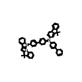 CC1(C)C2=CC=CCC2n2c1cc1c3ccccc3n(-c3ccc(-c4ccc(N(c5ccc(-c6ccccc6)cc5)c5ccc6c(c5)C(C)(C)c5ccccc5-6)cc4)cc3)c12